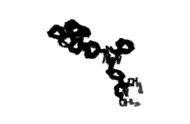 Cc1ccc(-c2ccc(-c3nc(-c4ccccc4)nc(-c4ccc(-c5ccc6c(c5)C5(c7ccccc7O6)c6ccccc6-c6ccccc65)cc4)n3)cc2)c(C)n1